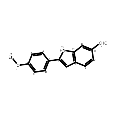 CCOc1ccc(-c2cc3ccc(C=O)cc3[nH]2)cc1